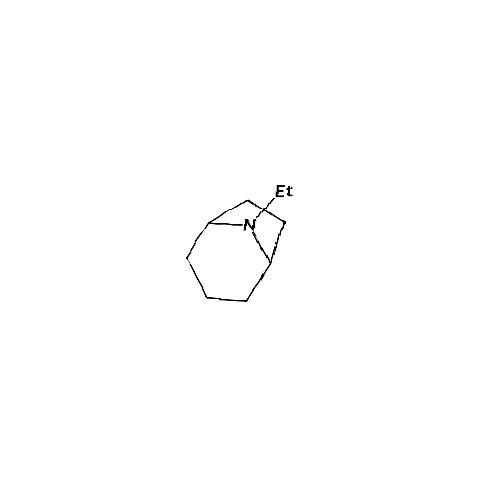 CCN1C2CCCC1CC2